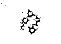 Cc1nc(Nc2ncc(C(=O)Nc3c(C)cccc3Cl)s2)cc(N2CC[N+]([O-])(CCO)CC2)n1